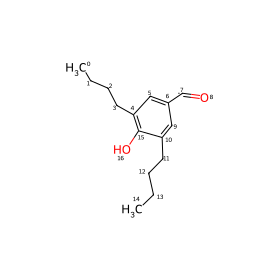 CCCCc1cc([C]=O)cc(CCCC)c1O